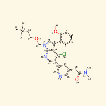 COc1ccccc1-c1cn(COCC[Si](C)(C)C)c2ncc(-c3cncc(CC(=O)N(C)C)c3)c(Cl)c12